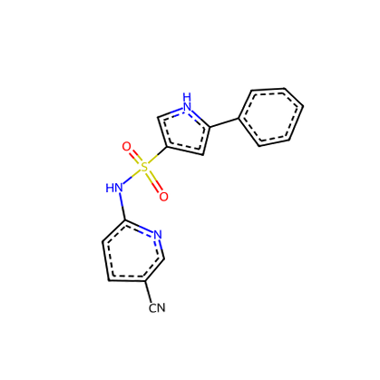 N#Cc1ccc(NS(=O)(=O)c2c[nH]c(-c3ccccc3)c2)nc1